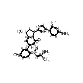 C[C@@H]1CC(c2ncc(-c3ccc(N)nc3F)[nH]2)n2c1cc(-c1cc(Cl)ccc1N(N)/C=C(\N)C(F)(F)F)cc2=O